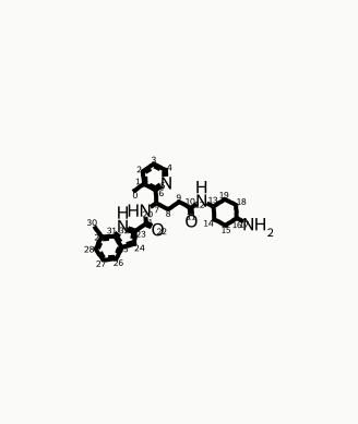 Cc1cccnc1C(CCC(=O)NC1CCC(N)CC1)NC(=O)c1cc2cccc(C)c2[nH]1